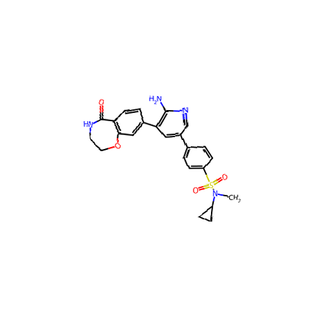 CN(C1CC1)S(=O)(=O)c1ccc(-c2cnc(N)c(-c3ccc4c(c3)OCCNC4=O)c2)cc1